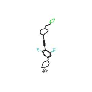 CCCC1CCC(c2cc(F)c(C#CC3CCC(/C=C/Cl)CC3)c(F)c2)CC1